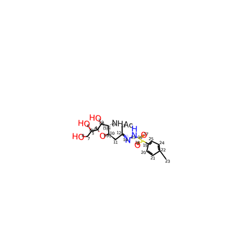 CC(=O)N[C@H]1[C@@H](O)[C@@H]([C@H](O)CO)O[C@@H]1C/C(C)=N/NS(=O)(=O)c1ccc(C)cc1